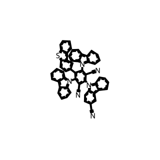 N#Cc1ccc2c(c1)c1ccccc1n2-c1c(C#N)c(-n2c3ccccc3c3ccccc32)c(-c2ccc3sc4ccccc4c3c2)c(-n2c3ccccc3c3ccccc32)c1C#N